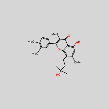 COc1ccc(-c2oc3c(CCC(C)(C)O)c(OC)cc(O)c3c(=O)c2OC)cc1OC